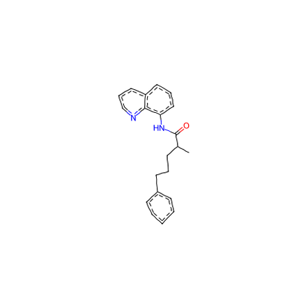 CC(CCCc1ccccc1)C(=O)Nc1cccc2cccnc12